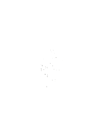 CC(=O)OCC1=C(C(=O)OC(C)(C)C)N2C(=O)C(N3C(=O)c4ccccc4C3=O)[C@H]2SC1